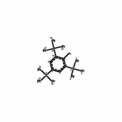 Cc1c(S(C(C)C)(C(C)C)C(C)C)cc(S(C(C)C)(C(C)C)C(C)C)cc1S(C(C)C)(C(C)C)C(C)C